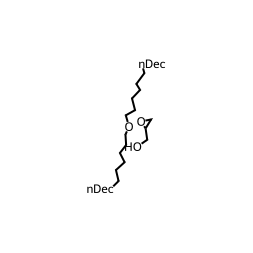 CCCCCCCCCCCCCCCCOCCCCCCCCCCCCCCCC.OCC1CO1